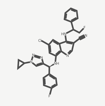 N#Cc1cnc2c(N[C@@H](c3ccc(F)cc3)c3cn(C4CC4)nn3)cc(Cl)cc2c1NC(CF)c1ccccc1